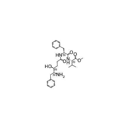 COC(=O)[C@@H](NC(=O)[C@H](Cc1ccccc1)NC(=O)CC[C@H](O)[C@@H](N)Cc1ccccc1)C(C)C